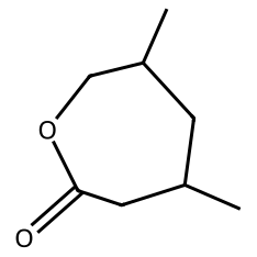 CC1COC(=O)CC(C)C1